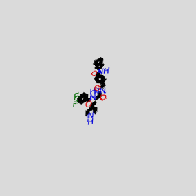 O=C(NC1Cc2ccccc2C1)c1ccc(Cc2nc(C(=O)[C@H](CCC3CCNCC3)NC(=O)c3ccc(F)c(F)c3)no2)cc1